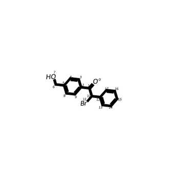 O=C(c1ccc(CO)cc1)C(Br)c1ccccc1